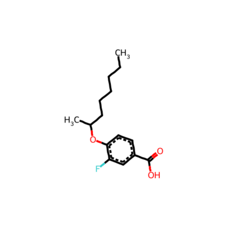 CCCCCCC(C)Oc1ccc(C(=O)O)cc1F